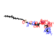 CCCCCCCCCCCCCCCCC=CC(=O)SCCNC(=O)CCNC(=O)[C@H](O)C(C)(C)COP(=O)(O)OP(=O)(O)OC[C@H]1O[C@@H](n2cnc3c(N)ncnc32)[C@H](O)[C@@H]1OP(=O)(O)O